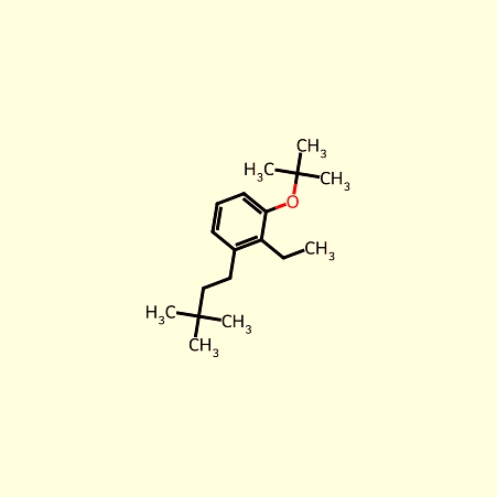 CCc1c(CCC(C)(C)C)cccc1OC(C)(C)C